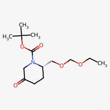 CCOCOC[C@@H]1CCC(=O)CN1C(=O)OC(C)(C)C